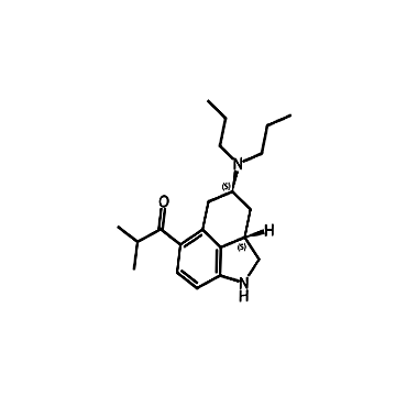 CCCN(CCC)[C@@H]1Cc2c(C(=O)C(C)C)ccc3c2[C@@H](CN3)C1